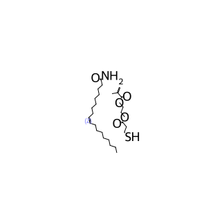 C=C(C)C(=O)OCCOC(=O)CCS.CCCCCCCC/C=C\CCCCCCCC(N)=O